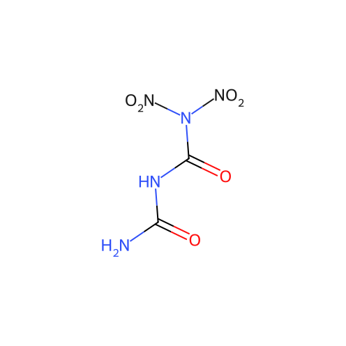 NC(=O)NC(=O)N([N+](=O)[O-])[N+](=O)[O-]